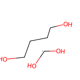 OCCCCO.O[CH]O